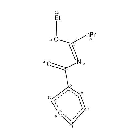 CCC/C(=N/C(=O)c1ccccc1)OCC